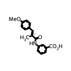 COc1ccc(/C=C(\C)C(=O)Nc2cccc(C(=O)O)c2)cc1